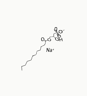 CCCCCCCCCCCC(=O)OCC(O)CS(=O)(=O)[O-].[Na+]